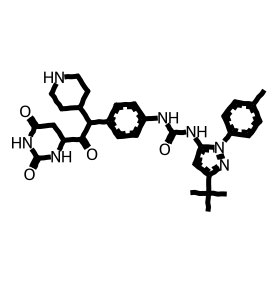 Cc1ccc(-n2nc(C(C)(C)C)cc2NC(=O)Nc2ccc(C(C(=O)C3CC(=O)NC(=O)N3)C3CCNCC3)cc2)cc1